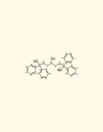 CC(C)(C)[Si](OCC(O)CO[Si](c1ccccc1)(c1ccccc1)C(C)(C)C)(c1ccccc1)c1ccccc1